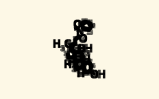 C[C@H](CCC(=O)N1COc2ccccc21)[C@H]1CC[C@H]2[C@@H]3CC[C@@H]4C[C@H](O)CC[C@]4(C)[C@H]3C[C@H](O)[C@]12C